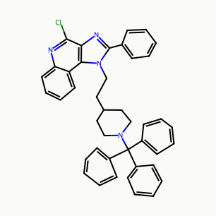 Clc1nc2ccccc2c2c1nc(-c1ccccc1)n2CCC1CCN(C(c2ccccc2)(c2ccccc2)c2ccccc2)CC1